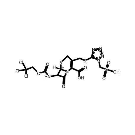 O=C(NC1C(=O)N2C(C(=O)O)=C(CSc3nnnn3CS(=O)(=O)O)CS[C@@H]12)OCC(Cl)(Cl)Cl